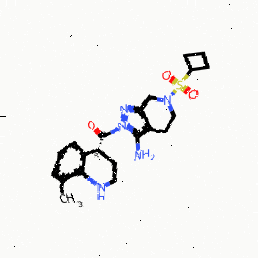 Cc1cccc2c1NCC[C@H]2C(=O)n1nc2c(c1N)CCN(S(=O)(=O)C1CCC1)C2